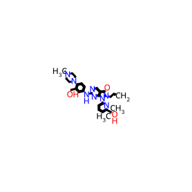 C=CCn1c(=O)c2cnc(Nc3ccc(N4CCN(C)CC4)c(CO)c3)nc2n1-c1cccc(C(C)(C)O)n1